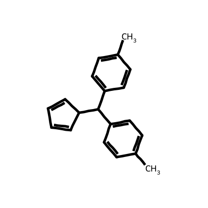 Cc1ccc(C(c2ccc(C)cc2)C2C=CC=C2)cc1